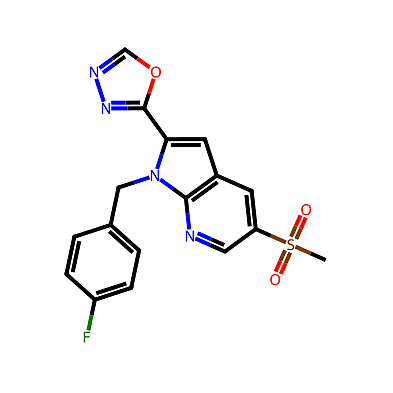 CS(=O)(=O)c1cnc2c(c1)cc(-c1nnco1)n2Cc1ccc(F)cc1